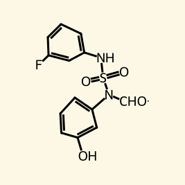 O=[C]N(c1cccc(O)c1)S(=O)(=O)Nc1cccc(F)c1